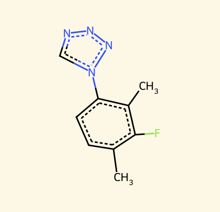 Cc1ccc(-n2cnnn2)c(C)c1F